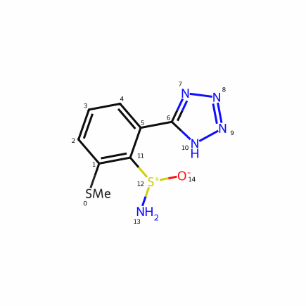 CSc1cccc(-c2nnn[nH]2)c1[S+](N)[O-]